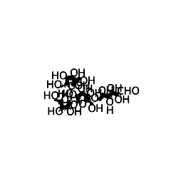 O=C[C@H](O)[C@@H](O)[C@H](O)[C@H](O)CO.OC[C@H]1O[C@@](CO)(O[C@H]2O[C@H](CO)[C@@H](O)[C@H](O)[C@H]2O)[C@@H](O)[C@@H]1O.OC[C@H]1O[C@](O)(CO)[C@@H](O)[C@@H]1O